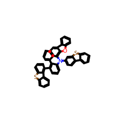 c1ccc(-c2c(-c3cccc4sc5ccccc5c34)cccc2N(c2ccc3c(c2)sc2ccccc23)c2cccc3c2oc2ccccc23)cc1